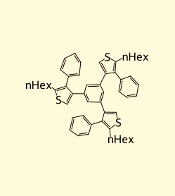 CCCCCCc1scc(-c2cc(-c3csc(CCCCCC)c3-c3ccccc3)cc(-c3csc(CCCCCC)c3-c3ccccc3)c2)c1-c1ccccc1